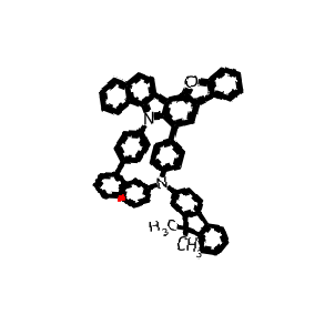 CC1(C)c2ccccc2-c2ccc(N(c3ccccc3)c3ccc(-c4cc5c6ccccc6oc5c5c6ccc7ccccc7c6n(-c6ccc(-c7ccccc7)cc6)c45)cc3)cc21